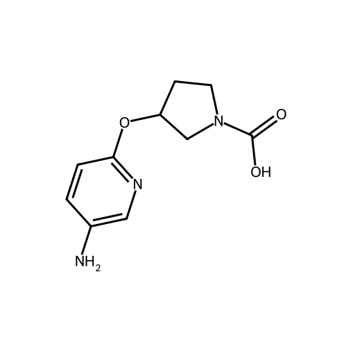 Nc1ccc(OC2CCN(C(=O)O)C2)nc1